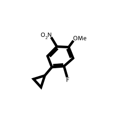 COc1cc(F)c(C2CC2)cc1[N+](=O)[O-]